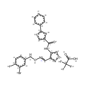 O=C(Nc1nonc1/C=N/ONc1ccc(F)c(Br)c1)c1csc(-c2ccncc2)n1.O=C(O)C(F)(F)F